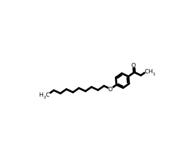 CCCCCCCCCCOc1ccc(C(=O)CC)cc1